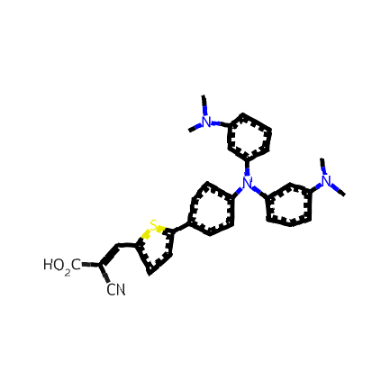 CN(C)c1cccc(N(c2ccc(-c3ccc(/C=C(\C#N)C(=O)O)s3)cc2)c2cccc(N(C)C)c2)c1